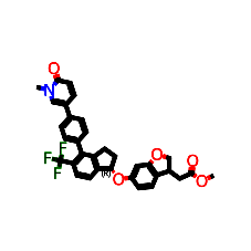 COC(=O)CC1COc2cc(O[C@@H]3CCc4c3ccc(C(F)(F)F)c4-c3ccc(-c4ccc(=O)n(C)c4)cc3)ccc21